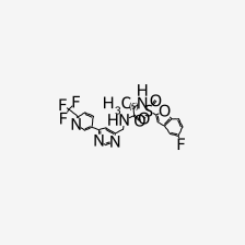 C[C@H](NS(=O)(=O)c1cc2cc(F)ccc2o1)C(=O)NCc1cc(-c2ccc(C(F)(F)F)nc2)ncn1